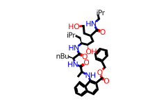 CCCC[C@H](NC(=O)C(C)Nc1c(C(=O)OCc2ccccc2)ccc2ccccc12)C(=O)N[C@@H](CC(C)C)[C@@H](O)CC(CCO)C(=O)NCC(C)C